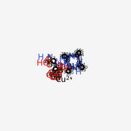 Nc1ccc(Nc2ccc(N(S(=O)(=O)[O-])S(=O)(=O)S(=O)(=O)[O-])cc2S(=O)(=O)O)cc1S(=O)(=O)O.[Cu+2].c1ccc2c(c1)-c1nc-2nc2[nH]c(nc3nc(nc4[nH]c(n1)c1ccccc41)-c1ccccc1-3)c1ccccc21